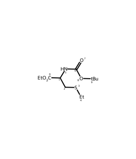 CCOC(=O)C(CSCC)NC(=O)OC(C)(C)C